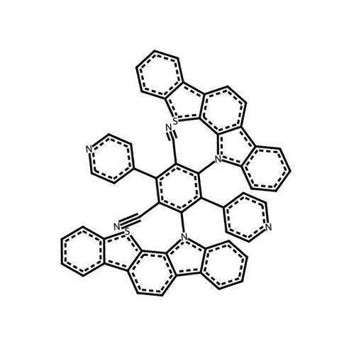 N#Cc1c(-c2ccncc2)c(C#N)c(-n2c3ccccc3c3ccc4c5ccccc5sc4c32)c(-c2ccncc2)c1-n1c2ccccc2c2ccc3c4ccccc4sc3c21